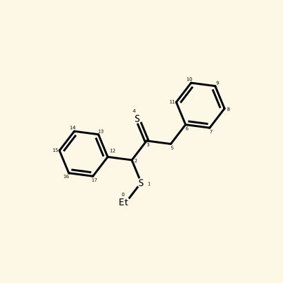 CCS[C](C(=S)Cc1ccccc1)c1ccccc1